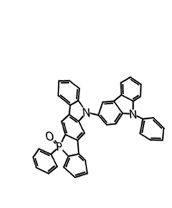 O=P1(c2ccccc2)c2ccccc2-c2cc3c(cc21)c1ccccc1n3-c1ccc2c(c1)c1ccccc1n2-c1ccccc1